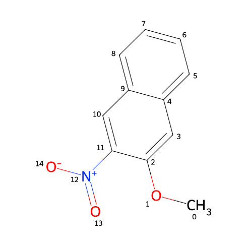 COc1cc2ccccc2cc1[N+](=O)[O-]